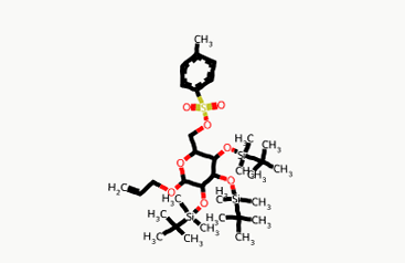 C=CCOC1OC(COS(=O)(=O)c2ccc(C)cc2)C(O[Si](C)(C)C(C)(C)C)C(O[Si](C)(C)C(C)(C)C)C1O[Si](C)(C)C(C)(C)C